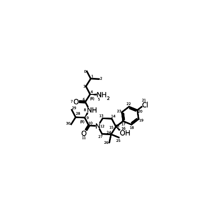 CC(C)C[C@@H](N)C(=O)N[C@@H](C(=O)N1CC[C@](O)(c2ccc(Cl)cc2)C(C)(C)C1)C(C)C